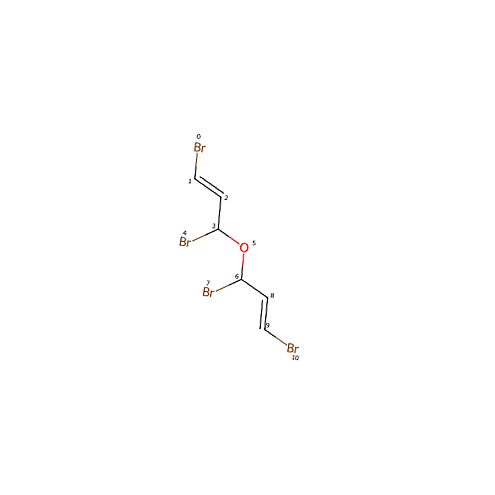 BrC=CC(Br)OC(Br)C=CBr